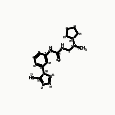 CN(CNC(=O)Nc1cccc(-n2nnnc2S)c1)N1CCCC1